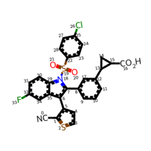 N#Cc1sccc1-c1c(-c2cccc(C3CC3C(=O)O)c2)n(S(=O)(=O)c2ccc(Cl)cc2)c2ccc(F)cc12